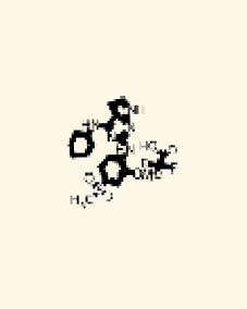 COc1cc(S(C)(=O)=O)ccc1Nc1nc(NC2CCCCC2)c2cc[nH]c2n1.O=C(O)C(F)(F)F